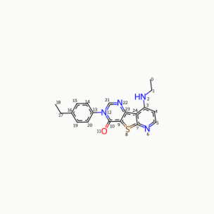 CCNc1ccnc2sc3c(=O)n(-c4ccc(CC)cc4)cnc3c12